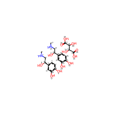 CNC[C@H](O)c1ccc(O)c(O)c1.CNC[C@H](O)c1ccc(O)c(O)c1.O=C(O)C(O)C(O)C(=O)O